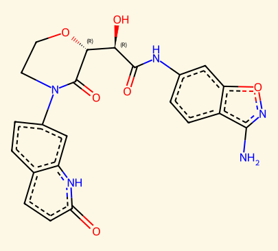 Nc1noc2cc(NC(=O)[C@H](O)[C@H]3OCCN(c4ccc5ccc(=O)[nH]c5c4)C3=O)ccc12